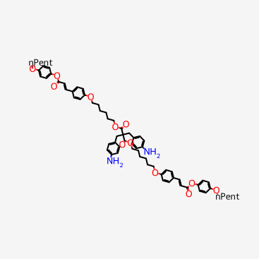 CCCCCOc1ccc(OC(=O)C=Cc2ccc(OCCCCCCOC(=O)C(Cc3ccc(N)cc3)(Cc3ccc(N)cc3)C(=O)OCCCCCCOc3ccc(C=CC(=O)Oc4ccc(OCCCCC)cc4)cc3)cc2)cc1